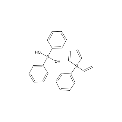 C=C[Si](C=C)(C=C)c1ccccc1.O[Si](O)(c1ccccc1)c1ccccc1